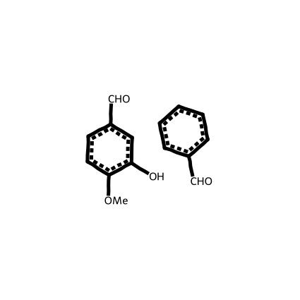 COc1ccc(C=O)cc1O.O=Cc1ccccc1